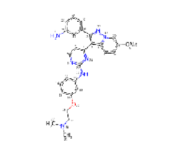 COc1ccc2c(-c3ccnc(Nc4cccc(OCCN(C)C)c4)n3)c(-c3cccc(N)c3)nn2c1